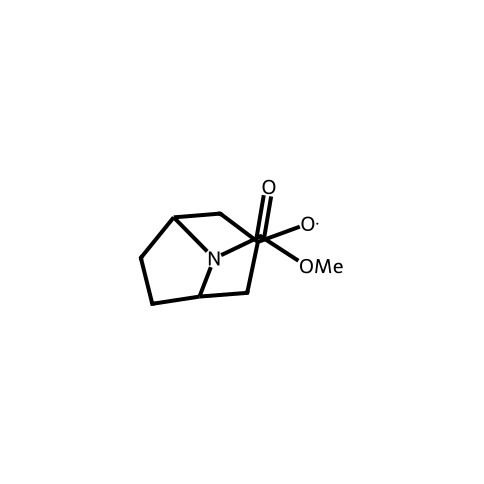 COC(=O)N1C2CCC1CC([O])C2